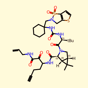 C#CCCC(NC(=O)[C@@H]1[C@@H]2[C@H](CN1C(=O)[C@@H](NC(=O)NC1(CN3Cc4sccc4S3(=O)=O)CCCCC1)C(C)(C)C)C2(C)C)C(=O)C(=O)NCC=C